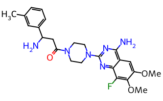 COc1cc2c(N)nc(N3CCN(C(=O)CC(N)c4cccc(C)c4)CC3)nc2c(F)c1OC